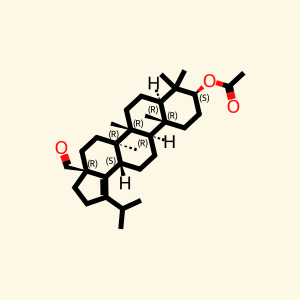 CC(=O)O[C@H]1CC[C@]2(C)[C@H]3CC[C@@H]4C5=C(C(C)C)CC[C@]5(C=O)CC[C@@]4(C)[C@]3(C)CC[C@H]2C1(C)C